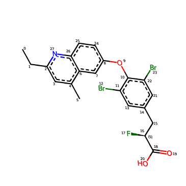 CCc1cc(C)c2cc(Oc3c(Br)cc(C[C@H](F)C(=O)O)cc3Br)ccc2n1